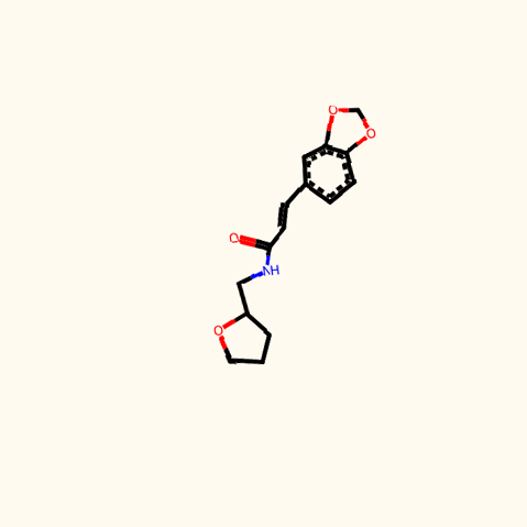 O=C(/C=C/c1ccc2c(c1)OCO2)NCC1CCCO1